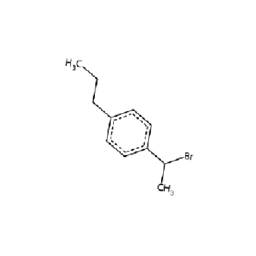 CCCc1ccc(C(C)Br)cc1